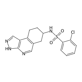 O=S(=O)(NC1CCc2c(cnc3[nH]ncc23)C1)c1ccccc1Cl